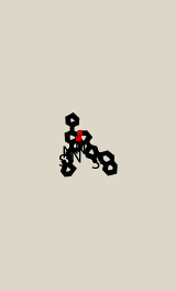 c1ccc(-c2ccc(-c3nc4sc5ccccc5c4nc3-n3c4ccccc4c4cc5c(cc43)sc3c4ccccc4ccc53)cc2)cc1